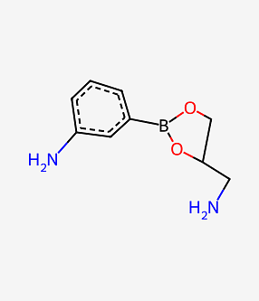 NCC1COB(c2cccc(N)c2)O1